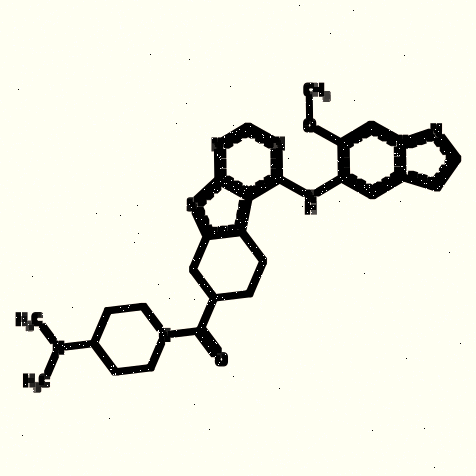 COc1cn2nccc2cc1Nc1ncnc2sc3c(c12)CCC(C(=O)N1CCC(N(C)C)CC1)C3